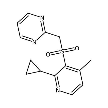 Cc1ccnc(C2CC2)c1S(=O)(=O)Cc1ncccn1